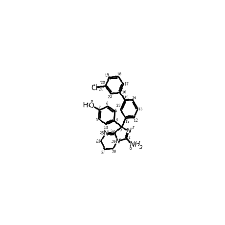 NC1=NC(c2ccc(O)cc2)(c2cccc(-c3cccc(Cl)c3)c2)C2=NCCCN12